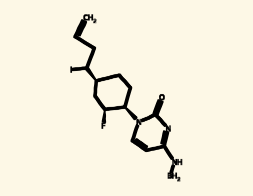 BNc1ccn([C@@H]2CC[C@H](C(I)CC=C)C[C@@H]2F)c(=O)n1